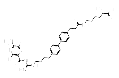 N=C(NCCCCc1ccc(-c2ccc(CCC(=O)NCCCC[C@@H](N)C(=O)O)cc2)cc1)NC(=O)c1nc(Cl)c(N)nc1N